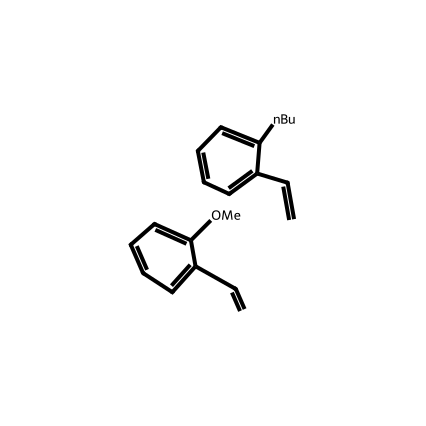 C=Cc1ccccc1CCCC.C=Cc1ccccc1OC